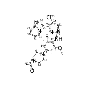 COc1cc(N2CCN(C(C)=O)CC2)cc(F)c1Nc1ncc(Cl)c(-c2cnc3ccccn23)n1